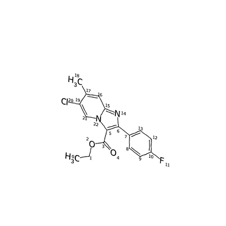 CCOC(=O)c1c(-c2ccc(F)cc2)nc2cc(C)c(Cl)cn12